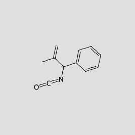 C=C(C)C(N=C=O)c1ccccc1